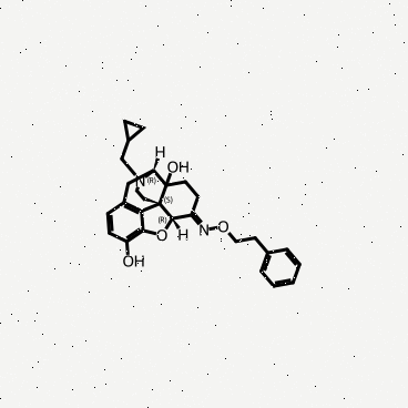 Oc1ccc2c3c1O[C@H]1C(=NOCCc4ccccc4)CCC4(O)[C@@H](C2)N(CC2CC2)CC[C@]314